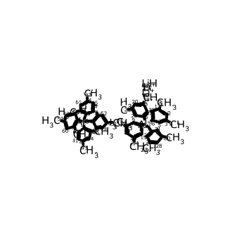 Cc1cc(C)c[c]([Al-]([c]2cc(C)cc(C)c2)([c]2cc(C)cc(C)c2)[c]2cc(C)cc(C)c2)c1.Cc1cc[c]([Al-]([c]2ccc(C)cc2C)([c]2ccc(C)cc2C)[c]2ccc(C)cc2C)c(C)c1.[Li+].[Li+].[LiH]